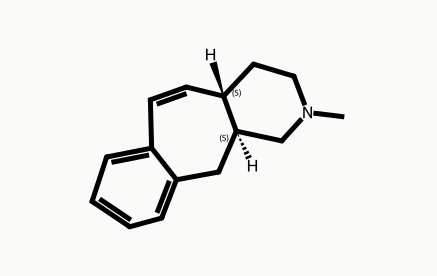 CN1CC[C@H]2C=Cc3ccccc3C[C@@H]2C1